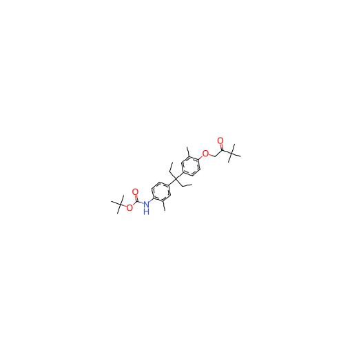 CCC(CC)(c1ccc(NC(=O)OC(C)(C)C)c(C)c1)c1ccc(OCC(=O)C(C)(C)C)c(C)c1